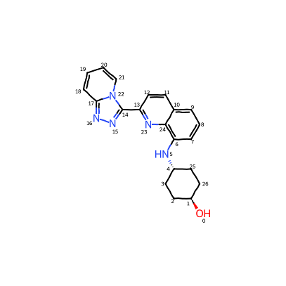 O[C@H]1CC[C@H](Nc2cccc3ccc(-c4nnc5ccccn45)nc23)CC1